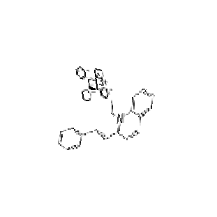 CC[n+]1c(C=Cc2ccccc2)ccc2ccccc21.[O-][Cl+3]([O-])([O-])[O-]